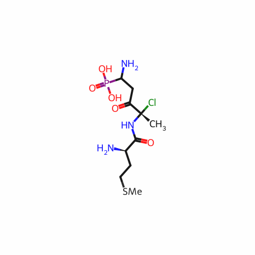 CSCC[C@@H](N)C(=O)N[C@@](C)(Cl)C(=O)CC(N)P(=O)(O)O